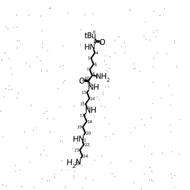 CC(C)(C)C(=O)NCCCCC(N)C(=O)NCCCNCCCCNCCCN